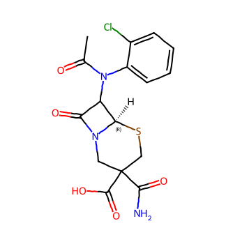 CC(=O)N(c1ccccc1Cl)C1C(=O)N2CC(C(N)=O)(C(=O)O)CS[C@H]12